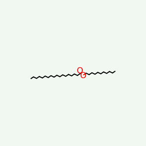 CCCCCCCCCCCCCCCCCC(=O)OCCCCCCCCCCC